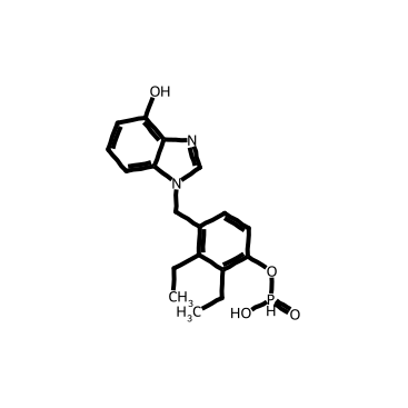 CCc1c(Cn2cnc3c(O)cccc32)ccc(O[PH](=O)O)c1CC